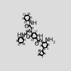 Nc1ccc(-c2cccs2)cc1NC(=O)c1ccc(N(CC(=O)Nc2ccccc2)CC(=O)Nc2ccccc2)cc1